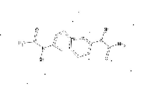 NC(=O)N(S)c1ccc2cc(N(S)C(N)=O)ccc2c1